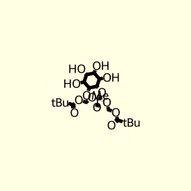 COC1C(O)C(O)C(O)C(O)C1OP(=O)(OCOC(=O)C(C)(C)C)OCOC(=O)C(C)(C)C